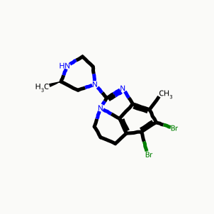 Cc1c(Br)c(Br)c2c3c1nc(N1CCN[C@H](C)C1)n3CCC2